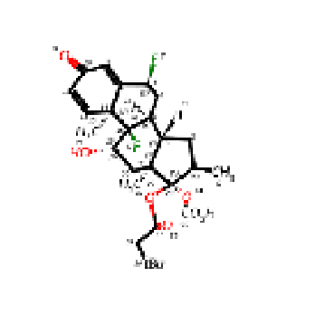 C[C@@H]1C[C@H]2[C@@H]3C[C@H](F)C4=CC(=O)C=C[C@]4(C)[C@@]3(F)[C@@H](O)C[C@]2(C)[C@]1(OC(=O)O)OC(=O)CC(C)(C)C